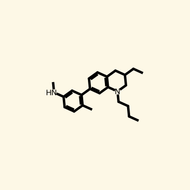 CCCCN1CC(CC)Cc2ccc(-c3cc(NC)ccc3C)cc21